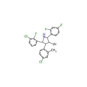 Cc1cc(Cl)ccc1C1C(c2cccc(Cl)c2F)NC(c2ccc(F)cc2F)C1C(C)C